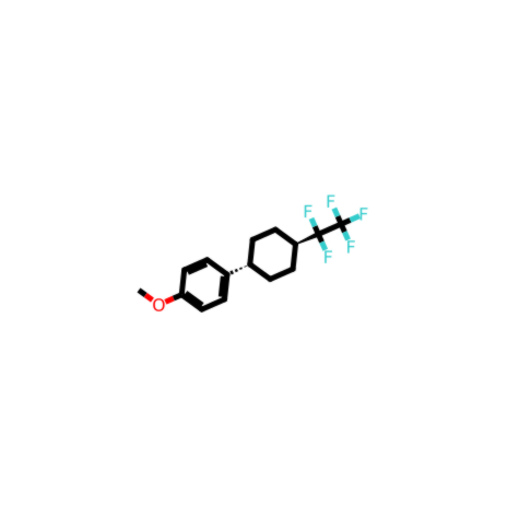 COc1ccc([C@H]2CC[C@H](C(F)(F)C(F)(F)F)CC2)cc1